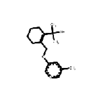 Cc1cncc(OCC2=C(C(C)(C)O)CCCC2)c1